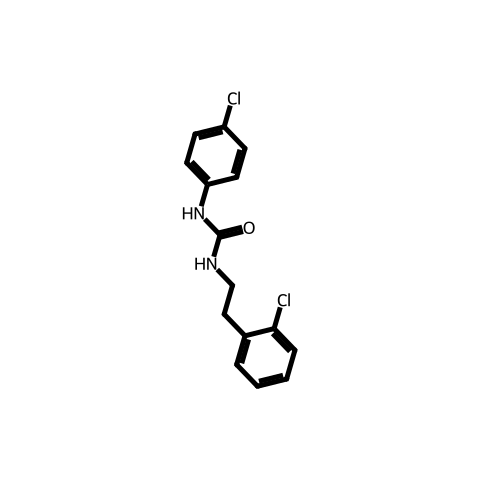 O=C(NCCc1ccccc1Cl)Nc1ccc(Cl)cc1